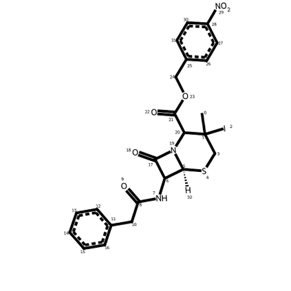 CC1(I)CS[C@H]2C(NC(=O)Cc3ccccc3)C(=O)N2C1C(=O)OCc1ccc([N+](=O)[O-])cc1